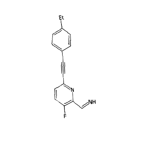 CCc1ccc(C#Cc2ccc(F)c(C=N)n2)cc1